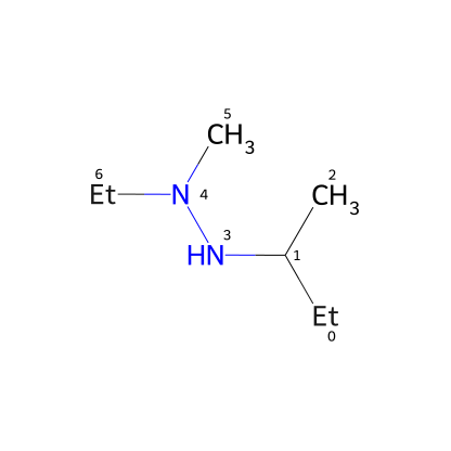 CCC(C)NN(C)CC